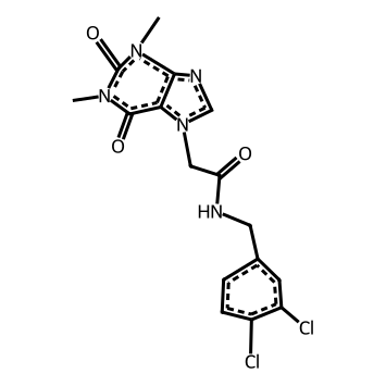 Cn1c(=O)c2c(ncn2CC(=O)NCc2ccc(Cl)c(Cl)c2)n(C)c1=O